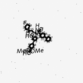 CO[PH](O)(OC)c1ccc(-c2ccc([C@@H]3[C@H](CCC(=O)c4ccc(F)cc4)NC(=O)N3c3ccc(-c4ccccc4)cc3)c(O)c2)cc1